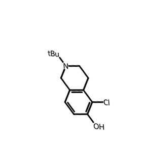 CC(C)(C)N1CCc2c(ccc(O)c2Cl)C1